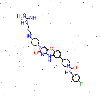 N=C(N)NCCCNC1CCC(n2cc3c(nc2=O)Nc2cc(C4CCN(C(=O)Nc5ccc(F)cc5)CC4)ccc2O3)CC1